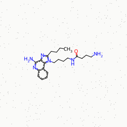 CCCCc1nc2c(N)nc3ccccc3c2n1CCCCNC(=O)CCCN